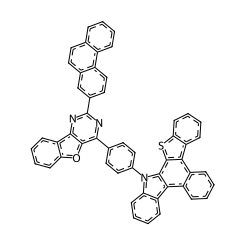 c1ccc2c(c1)ccc1cc(-c3nc(-c4ccc(-n5c6ccccc6c6c7ccccc7c7c8ccccc8sc7c65)cc4)c4oc5ccccc5c4n3)ccc12